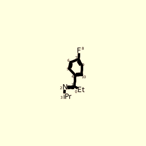 CC/C(=N\C(C)C)c1ccc(F)cc1